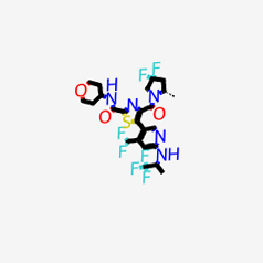 CC(Nc1cc(C(F)F)c(-c2sc(C(=O)NC3CCOCC3)nc2C(=O)N2CC(F)(F)C[C@@H]2C)cn1)C(F)(F)F